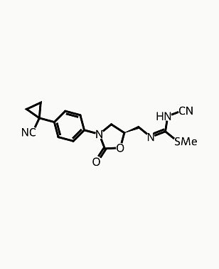 CSC(=NC[C@@H]1CN(c2ccc(C3(C#N)CC3)cc2)C(=O)O1)NC#N